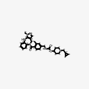 Cc1cc(CNC(=O)OC2CCN(CC3CC3)CC2)ccc1C(=O)N1Cc2cnn(C)c2Nc2ccccc21